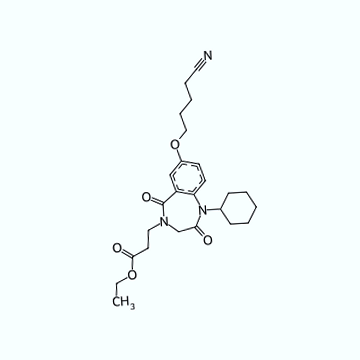 CCOC(=O)CCN1CC(=O)N(C2CCCCC2)c2ccc(OCCCCC#N)cc2C1=O